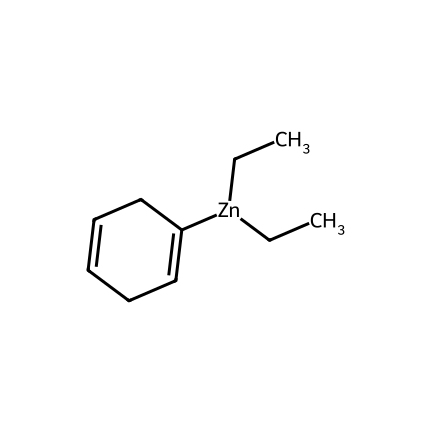 C[CH2][Zn]([CH2]C)[C]1=CCC=CC1